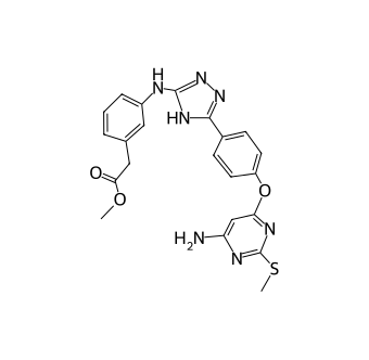 COC(=O)Cc1cccc(Nc2nnc(-c3ccc(Oc4cc(N)nc(SC)n4)cc3)[nH]2)c1